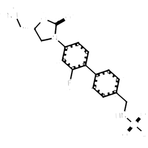 CCS(=O)(=O)NCc1ccc(-c2ccc(N3C[C@H](CNC(C)=O)OC3=O)cc2F)cc1